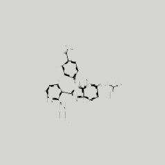 Nc1ncccc1-c1nc2ccc(OC(F)F)nc2n1-c1ccc(CCl)cc1